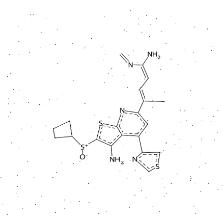 C=N/C(N)=C\C=C(/C)c1cc(-c2cscn2)c2c(N)c([S+]([O-])C3CCC3)sc2n1